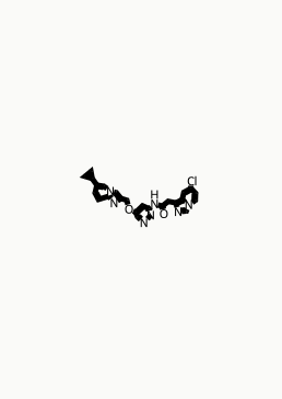 O=C(Cc1ncn2ccc(Cl)cc12)Nc1cc(OCc2cn3cc(C4CC4)ccc3n2)cnn1